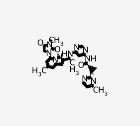 Cc1cc(N2CC(=O)N(C)C2=O)n2nc([C@@H](C)Nc3cc(NC(=O)[C@H]4C[C@@H]4c4nccc(C)n4)ncn3)cc2c1